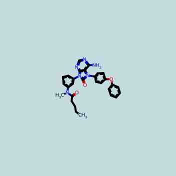 CCCCC(=O)N(C)c1cccc(-n2c(=O)n(-c3ccc(Oc4ccccc4)cc3)c3c(N)ncnc32)c1